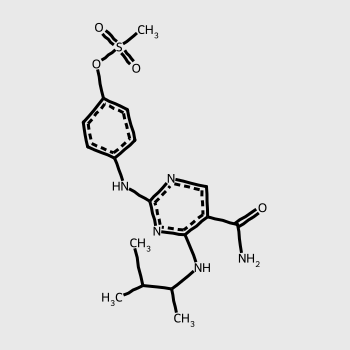 CC(C)C(C)Nc1nc(Nc2ccc(OS(C)(=O)=O)cc2)ncc1C(N)=O